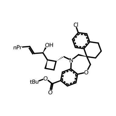 CCCC=C[C@@H](O)[C@@H]1CC[C@H]1CN1C[C@@]2(CCCc3cc(Cl)ccc32)COc2ccc(C(=O)OC(C)(C)C)cc21